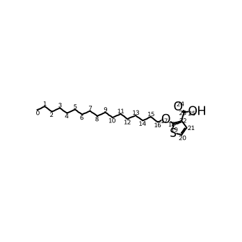 CCCCCCCCCCCCCCCCCOc1sccc1C(=O)O